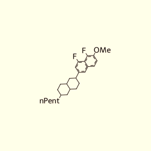 CCCCCC1CCC2CC(c3cc(F)c4c(F)c(OC)ccc4c3)CCC2C1